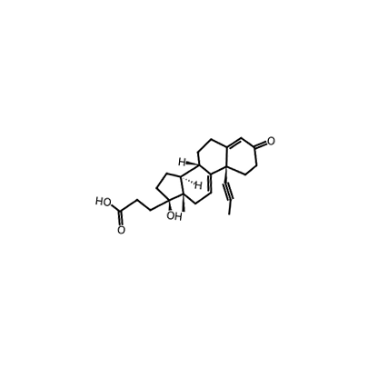 CC#C[C@]12CCC(=O)C=C1CC[C@@H]1C2=CC[C@@]2(C)[C@H]1CC[C@@]2(O)CCC(=O)O